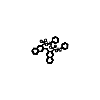 O=S(=O)([O][Hg][c]1ccccc1)c1cc2ccccc2cc1Cc1cc2ccccc2cc1S(=O)(=O)[O][Hg][c]1ccccc1